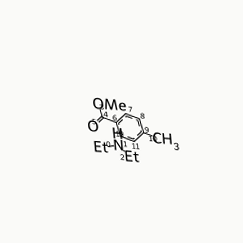 CCNCC.COC(=O)c1ccc(C)cc1